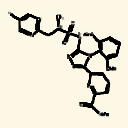 CNC(=O)c1cccc(-c2nnc(NS(=O)(=O)[C@H](C)Cc3ncc(F)cn3)n2-c2c(OC)cccc2OC)n1